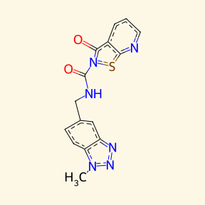 Cn1nnc2cc(CNC(=O)n3sc4ncccc4c3=O)ccc21